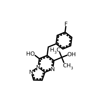 CC(C)(O)c1nc2ccnn2c(O)c1Cc1cccc(F)c1